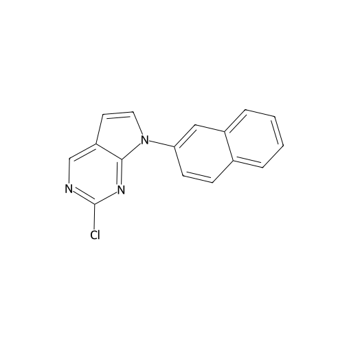 Clc1ncc2ccn(-c3ccc4ccccc4c3)c2n1